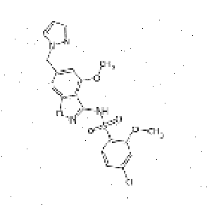 COc1cc(Cl)ccc1S(=O)(=O)Nc1noc2cc(Cn3cccn3)cc(OC)c12